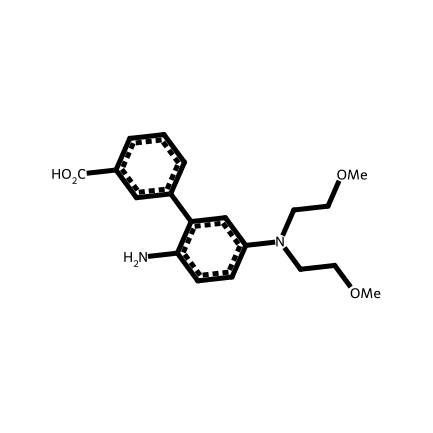 COCCN(CCOC)c1ccc(N)c(-c2cccc(C(=O)O)c2)c1